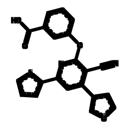 N#Cc1c(-c2ccoc2)cc(-c2cccs2)nc1Oc1cccc(C(=O)O)c1